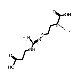 N/C(=N\SCC[C@@H](N)C(=O)O)NCCC(=O)O